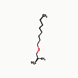 C=C(C)COCCCCCCCC